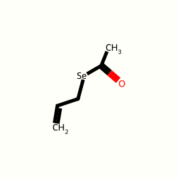 C=CC[Se]C(C)=O